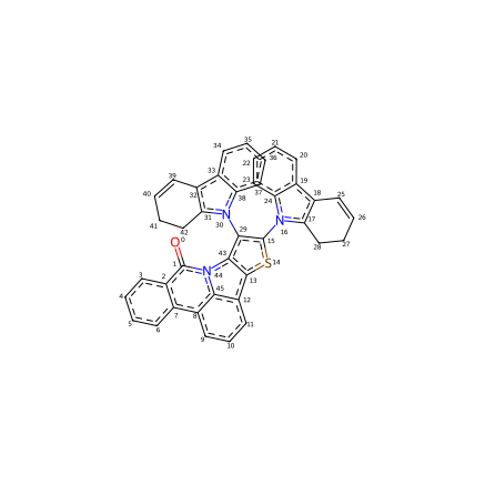 O=c1c2ccccc2c2cccc3c4sc(-n5c6c(c7ccccc75)C=CCC6)c(-n5c6c(c7ccccc75)C=CCC6)c4n1c23